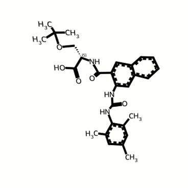 Cc1cc(C)c(NC(=O)Nc2cc3ccccc3cc2C(=O)N[C@@H](COC(C)(C)C)C(=O)O)c(C)c1